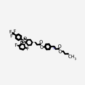 CCCCOC(=O)/C=C/c1ccc(OC(=O)CC[C@H]2CC[C@@](C3C=C(F)C=CC3F)(S(=O)(=O)c3ccc(C(F)(F)F)cc3)CC2)cc1